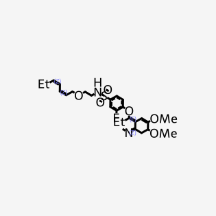 CC/C=C\C=C/COCCNS(=O)(=O)c1ccc(O/C(CC)=C2\C=C(OC)C(OC)C\C2=N\C)c(F)c1